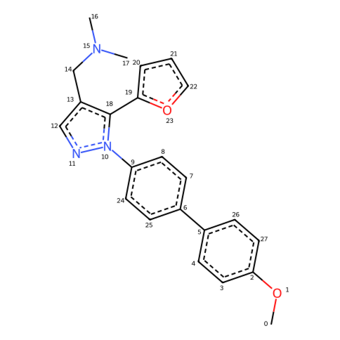 COc1ccc(-c2ccc(-n3ncc(CN(C)C)c3-c3ccco3)cc2)cc1